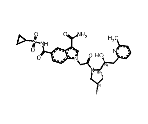 Cc1cccc(C[C@H](O)[C@@H]2C[C@@H](F)CN2C(=O)Cn2cc(C(N)=O)c3cc(C(=O)NS(=O)(=O)C4CC4)ccc32)n1